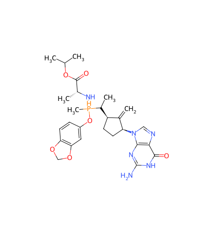 C=C1[C@H](C(C)[PH](C)(N[C@H](C)C(=O)OC(C)C)Oc2ccc3c(c2)OCO3)CC[C@@H]1n1cnc2c(=O)[nH]c(N)nc21